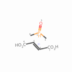 C[PH](C)=O.O=C(O)/C=C/C(=O)O